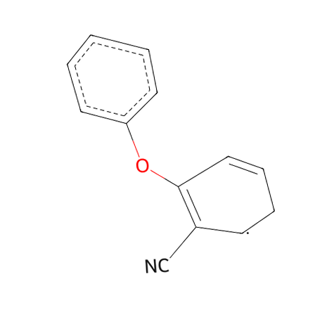 N#CC1=C(Oc2ccccc2)C=CC[CH]1